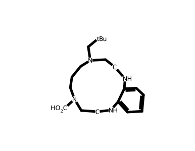 CC(C)(C)CN1CCCN(C(=O)O)CCNc2ccccc2NCC1